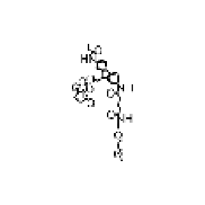 CCC(=O)Nc1ccc2c(c1)C(COC(=O)ON1C(=O)CCC1=O)c1cc(NC(=O)CCCC(=O)NCCOCCCOC)ccc1-2